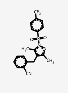 Cc1nn(S(=O)(=O)c2ccc(C(F)(F)F)cc2)c(C)c1Cc1ccccc1C#N